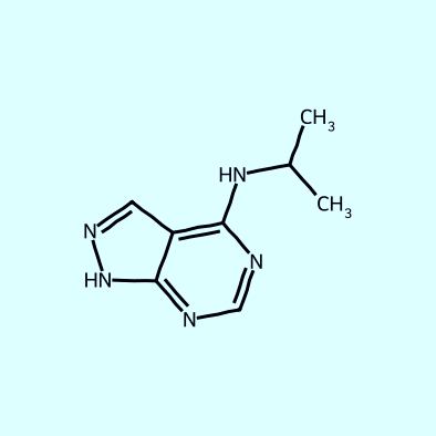 CC(C)Nc1ncnc2[nH]ncc12